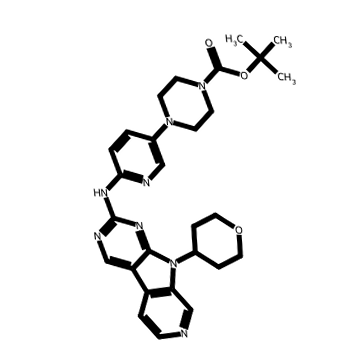 CC(C)(C)OC(=O)N1CCN(c2ccc(Nc3ncc4c5ccncc5n(C5CCOCC5)c4n3)nc2)CC1